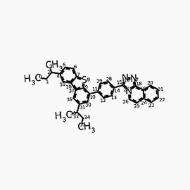 CCC(C)c1ccc2sc3c(-c4ccc(-c5nnc6c7ccccc7ccn56)cc4)cc(C(C)CC)cc3c2c1